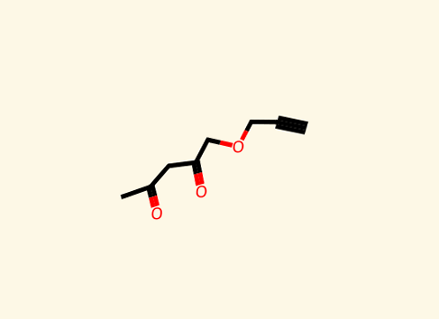 C#CCOCC(=O)CC(C)=O